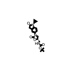 CC(C)(C)OC(=O)NC[C@H]1CN(c2ccc3c(c2)CC(=O)N3C2CC2)C(=O)O1